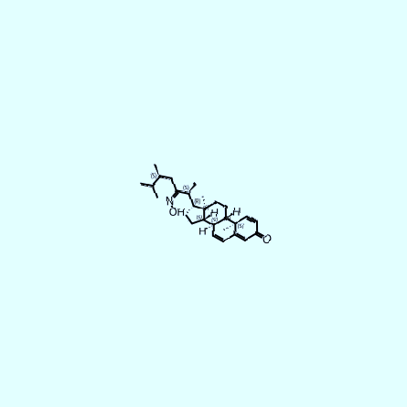 CC(C)[C@@H](C)CC(=NO)[C@@H](C)[C@H]1CC[C@H]2[C@@H]3C=CC4=CC(=O)C=C[C@]4(C)[C@H]3CC[C@]12C